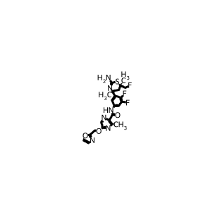 Cc1nc(OCc2ncco2)cnc1C(=O)Nc1cc(F)c(F)c([C@]2(C)C[C@](C)(CF)SC(N)=N2)c1